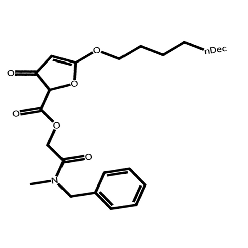 CCCCCCCCCCCCCCOC1=CC(=O)C(C(=O)OCC(=O)N(C)Cc2ccccc2)O1